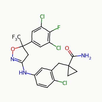 NC(=O)C1(Cc2cc(NC3=NOC(c4cc(Cl)c(F)c(Cl)c4)(C(F)(F)F)C3)ccc2Cl)CC1